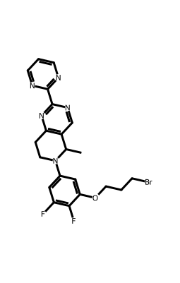 CC1c2cnc(-c3ncccn3)nc2CCN1c1cc(F)c(F)c(OCCCBr)c1